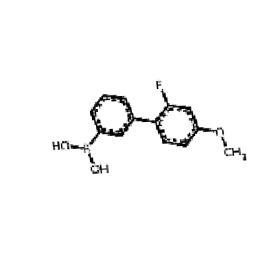 COc1ccc(-c2cccc(B(O)O)c2)c(F)c1